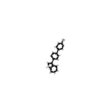 Brc1ccc(-c2ccc(-c3csc4ccccc34)cc2)cc1